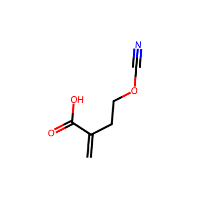 C=C(CCOC#N)C(=O)O